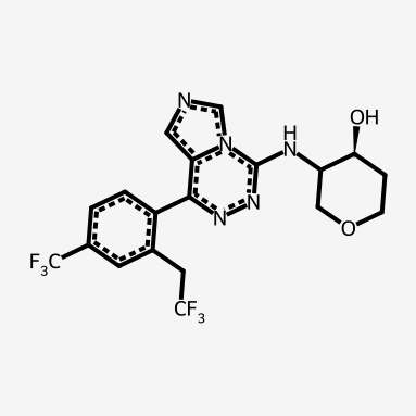 O[C@H]1CCOCC1Nc1nnc(-c2ccc(C(F)(F)F)cc2CC(F)(F)F)c2cncn12